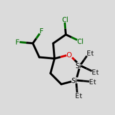 CC[Si]1(CC)CCC(CC(F)F)(CC(Cl)Cl)O[Si]1(CC)CC